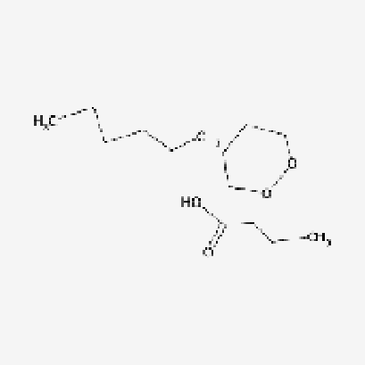 C1CCOOC1.CCCC(=O)O.CCCCCC